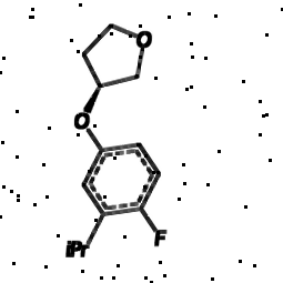 CC(C)c1cc(O[C@H]2CCOC2)ccc1F